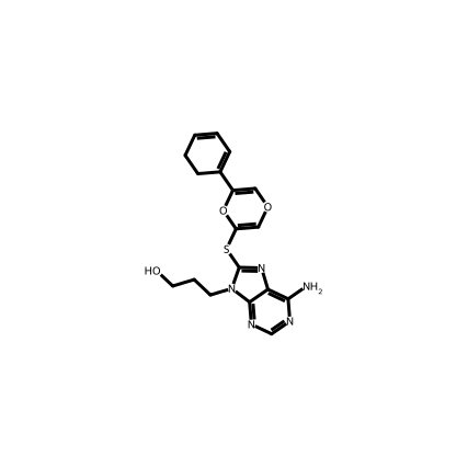 Nc1ncnc2c1nc(SC1=COC=C(C3=CC=CCC3)O1)n2CCCO